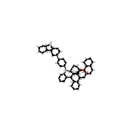 c1ccc(N(c2ccc(-c3ccc4oc5ccccc5c4c3)cc2)c2ccc(-c3cccc4ccccc34)cc2)c(-c2cc3ccccc3c3ccccc23)c1